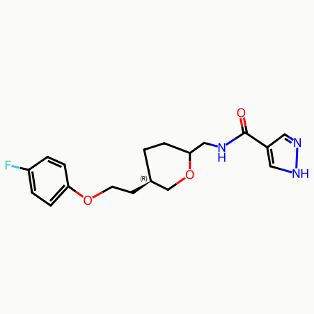 O=C(NCC1CC[C@H](CCOc2ccc(F)cc2)CO1)c1cn[nH]c1